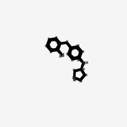 Clc1ccccc1Cc1ccc(O[C@H]2CCOC2)cc1